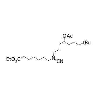 CCOC(=O)CCCCCCN(C#N)CCCC(CCCC(C)(C)C)OC(C)=O